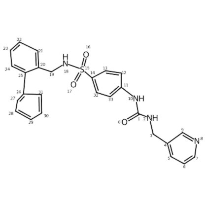 O=C(NCc1cccnc1)Nc1ccc(S(=O)(=O)NCc2ccccc2-c2ccccc2)cc1